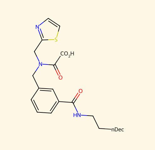 CCCCCCCCCCCCNC(=O)c1cccc(CN(Cc2nccs2)C(=O)C(=O)O)c1